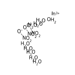 O.O.O.O.O.O.O.O.O.O=[N+]([O-])[O-].O=[N+]([O-])[O-].O=[N+]([O-])[O-].[In+3]